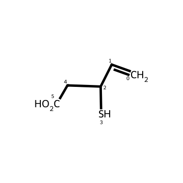 C=CC(S)CC(=O)O